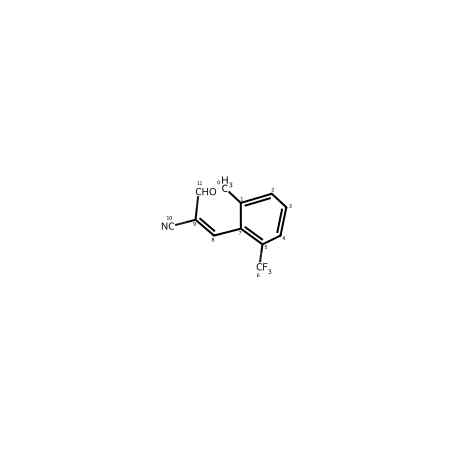 Cc1cccc(C(F)(F)F)c1C=C(C#N)C=O